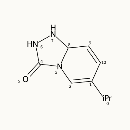 CC(C)C1=CN2C(=O)NNC2C=C1